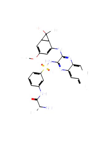 C=C/C=c1/nc(NS(=O)(=O)c2cccc(NC(=O)[C@H](C)N)c2)c(NC2=CC(OC)=CC3C2C3(C)O)n/c1=C/C